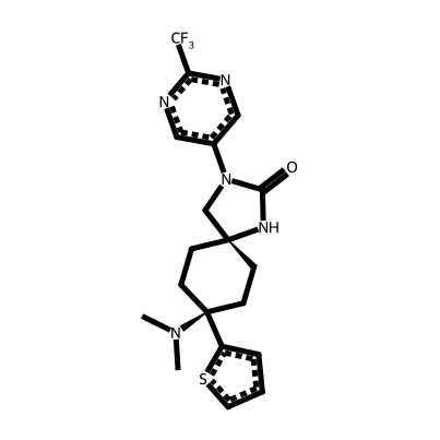 CN(C)[C@]1(c2cccs2)CC[C@@]2(CC1)CN(c1cnc(C(F)(F)F)nc1)C(=O)N2